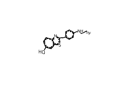 Oc1ccc2nc(-c3ccc(NCC[18F])cc3)sc2c1